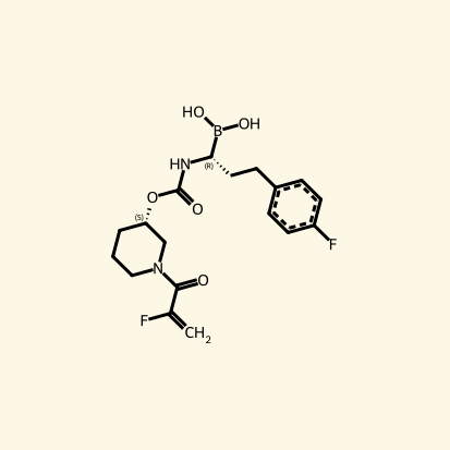 C=C(F)C(=O)N1CCC[C@H](OC(=O)N[C@@H](CCc2ccc(F)cc2)B(O)O)C1